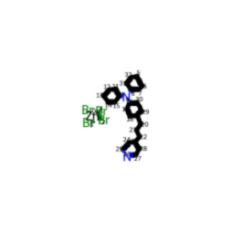 [Br][Zn]([Br])([Br])[Br].c1ccc(N(c2ccccc2)c2ccc(CCCc3ccncc3)cc2)cc1